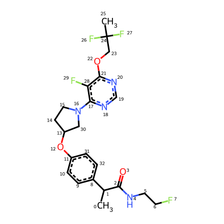 CC(C(=O)NCCF)c1ccc(OC2CCN(c3ncnc(OCC(C)(F)F)c3F)C2)cc1